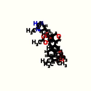 CC(=O)O[C@@H]1C[C@@]23COC[C@](C)([C@@H]2CC[C@H]2C3=CC(=O)[C@@]3(C)[C@H](C(=O)O)[C@@](C)([C@H](C)C(C)C)CC[C@]23C)[C@H]1OCC(CN)CN(C)C